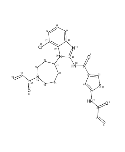 C=CC(=O)Nc1cc(C(=O)Nc2nc3cccc(Cl)c3n2C2CCCN(C(=O)C=C)CC2)cs1